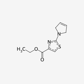 CCOC(=O)c1csc(N2CC=CC2)n1